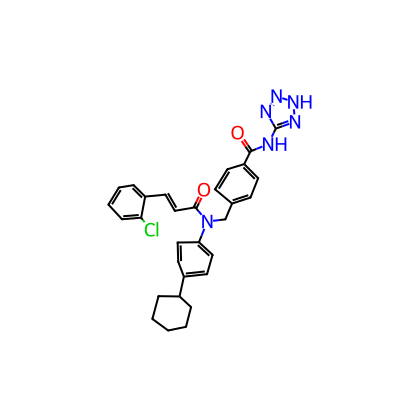 O=C(Nc1nn[nH]n1)c1ccc(CN(C(=O)C=Cc2ccccc2Cl)c2ccc(C3CCCCC3)cc2)cc1